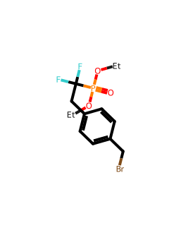 CCOP(=O)(OCC)C(F)(F)Cc1ccc(CBr)cc1